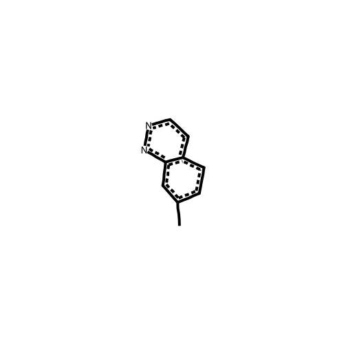 Cc1ccc2ccnnc2c1